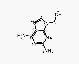 Nc1nc(N)c2ncn(CO)c2n1